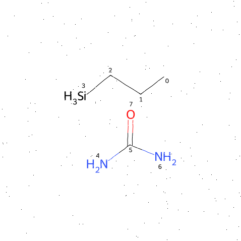 CCC[SiH3].NC(N)=O